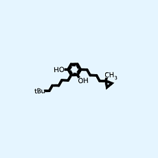 CC(C)(C)CCCCCc1c(O)ccc(CCCCC2(C)CC2)c1O